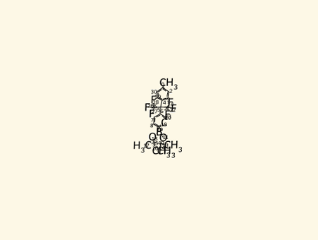 Cc1ccc(C(c2ccc(B3OC(C)(C)C(C)(C)O3)cc2)(C(F)(F)F)C(F)(F)F)cc1